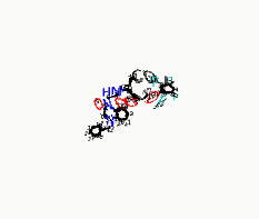 O=C(O)C[C@H](NC(=O)CN1C(=O)CN(Cc2ccccc2)c2ccccc21)C(=O)COc1c(F)c(F)cc(F)c1F